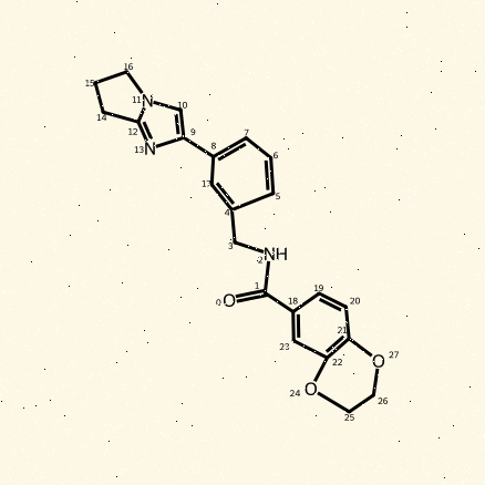 O=C(NCc1cccc(-c2cn3c(n2)CCC3)c1)c1ccc2c(c1)OCCO2